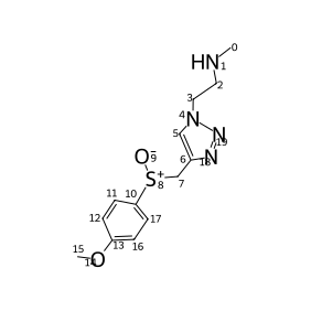 CNCCn1cc(C[S+]([O-])c2ccc(OC)cc2)nn1